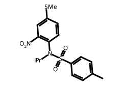 CSc1ccc(N(C(C)C)S(=O)(=O)c2ccc(C)cc2)c([N+](=O)[O-])c1